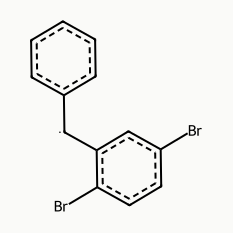 Brc1ccc(Br)c([CH]c2ccccc2)c1